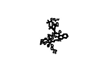 CCOOP(=O)(OOCC)C(CCNc1cc2ccccc2c(C(=O)NC2C(=O)N3C2SC(C)(C)C3C(=O)O)c1OCC)P(=O)(OOCC)OOCC